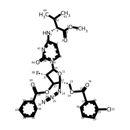 COC(=O)[C@H](Nc1ccn(C2O[C@@](COC(=O)c3cccc(Cl)c3)(N=[N+]=[N-])C(OC(=O)c3ccccc3)[C@@H]2F)c(=O)n1)C(C)C